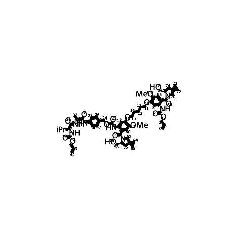 C=CCOC(=O)Nc1cc(OCCCCCOc2cc(NC(=O)OCc3ccc(NC(=O)C(C)NC(=O)C(NC(=O)OCC=C)C(C)C)cc3)c(C(=O)N3CC4(CC4)C[C@H]3CO)cc2OC)c(OC)cc1C(=O)N1CC2(CC2)C[C@H]1CO